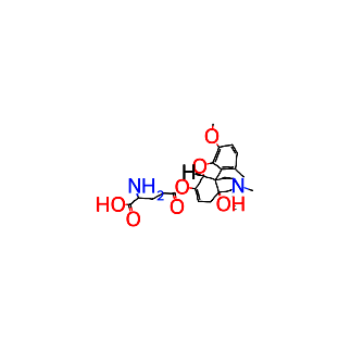 COc1ccc(C)c2c1O[C@H]1C(OC(=O)CC[C@H](N)C(=O)O)=CC[C@@]3(O)[C@@H](C)N(C)CC[C@]213